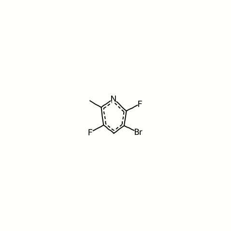 Cc1nc(F)c(Br)cc1F